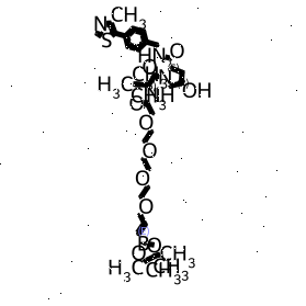 Cc1ncsc1-c1ccc(CNC(=O)[C@@H]2C[C@@H](O)CN2C(=O)[C@@H](NC(=O)COCCOCCOCCOC/C=C/B2OC(C)(C)C(C)(C)O2)C(C)(C)C)cc1